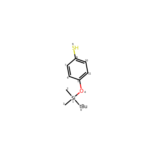 CC(C)(C)[Si](C)(C)Oc1ccc(S)cc1